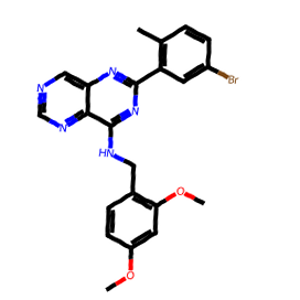 COc1ccc(CNc2nc(-c3cc(Br)ccc3C)nc3cncnc23)c(OC)c1